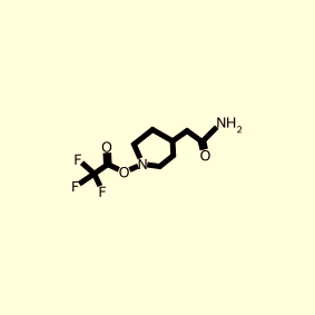 NC(=O)CC1CCN(OC(=O)C(F)(F)F)CC1